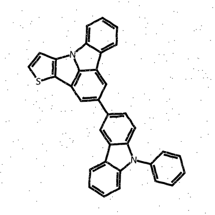 c1ccc(-n2c3ccccc3c3cc(-c4cc5c6ccccc6n6c7ccsc7c(c4)c56)ccc32)cc1